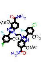 COc1c(C(N)=O)ccc2c1nc(-c1c(F)cc(Cl)cc1C(=O)O)n2CCn1c(-c2c(F)cc(Cl)cc2C(=O)O)nc2c(OC)c(C(N)=O)ccc21